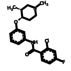 C[C@@H]1CN(C)CC[C@@H]1Oc1cccc(NC(=O)c2ccc(F)cc2Cl)c1